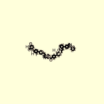 Cn1c(CN2CCC(c3ccc(C(=O)N4CCn5c(CN6CCC(c7ccc(NC8CCC(=O)NC8=O)cc7F)CC6)nnc5C4)cc3)CC2)cc2c(-c3ccc4c(cnn4C4CCCCO4)c3)ccnc21